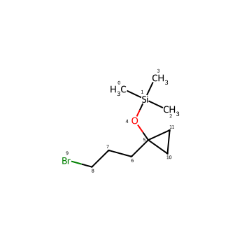 C[Si](C)(C)OC1(CCCBr)CC1